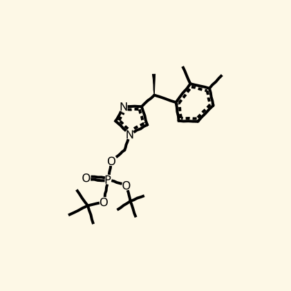 Cc1cccc([C@H](C)c2cn(COP(=O)(OC(C)(C)C)OC(C)(C)C)cn2)c1C